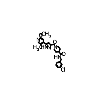 COc1cc(-c2cc(C(=O)N3CCC(C(=O)NCc4cccc(Cl)c4)CC3)n[nH]2)c(C)cn1